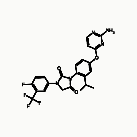 CC(C)c1cc(Oc2ccnc(N)n2)ccc1N1C(=O)CN(c2ccc(F)c(C(F)(F)F)c2)C1=O